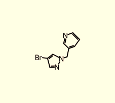 Brc1cnn(Cc2cccnc2)c1